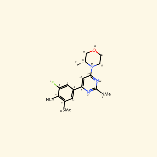 CNc1nc(-c2cc(F)c(C#N)c(SC)c2)cc(N2CCOC[C@H]2C)n1